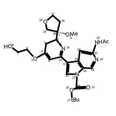 CO[C@@]1(C2CC(OCCO)=CC(c3cn(C(=O)OC(C)(C)C)c4cnc(NC(C)=O)cc34)=N2)CCOC1